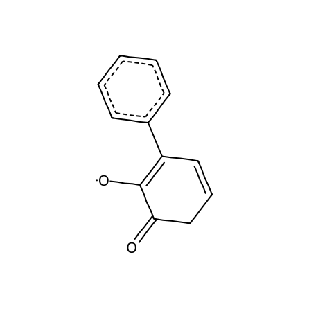 [O]C1=C(c2ccccc2)C=CCC1=O